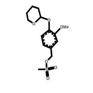 COc1cc(COS(C)(=O)=O)ccc1OC1CCCCO1